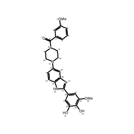 COc1cccc(C(=O)N2CCN(c3ccc4[nH]c(-c5cc(O)c(O)c(OC)c5)nc4c3)CC2)c1